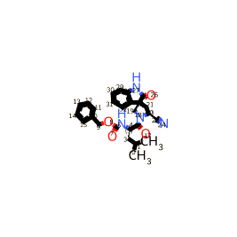 CC(C)C[C@H](NC(=O)OCc1ccccc1)C(=O)N1C[C@]2(C[C@H]1C#N)C(=O)Nc1ccccc12